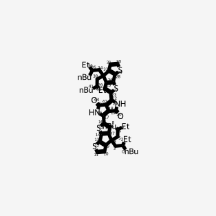 CCCCC(CC)CC1(CC(CC)CCCC)c2ccsc2-c2sc(C3=C4C(=O)NC(c5cc6c(s5)-c5sccc5C6(CC(CC)CCCC)CC(CC)CCCC)=C4C(=O)N3)cc21